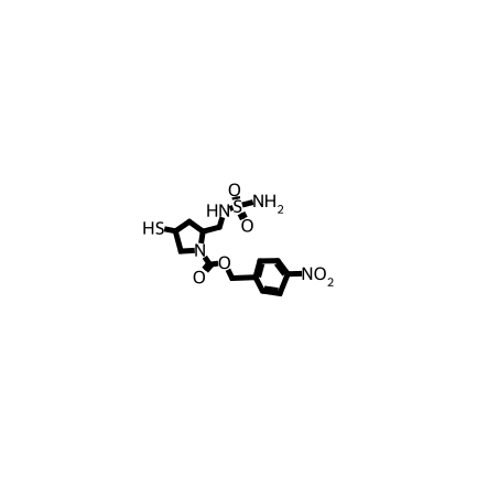 NS(=O)(=O)NCC1CC(S)CN1C(=O)OCc1ccc([N+](=O)[O-])cc1